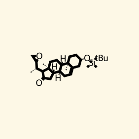 C[C@H](C1CO1)C1C(=O)C[C@H]2[C@@H]3CC=C4C[C@@H](O[Si](C)(C)C(C)(C)C)CC[C@]4(C)[C@H]3CC[C@]12C